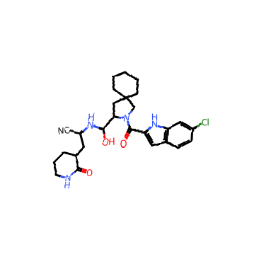 N#CC(CC1CCCNC1=O)NC(O)C1CC2(CCCCC2)CN1C(=O)c1cc2ccc(Cl)cc2[nH]1